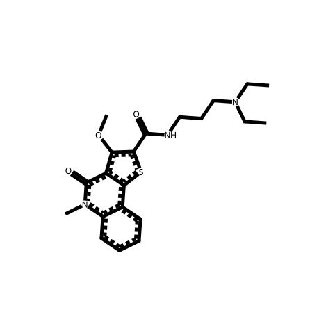 CCN(CC)CCCNC(=O)c1sc2c(c1OC)c(=O)n(C)c1ccccc21